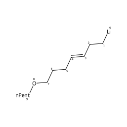 [Li][CH2]CC=CCCCOCCCCC